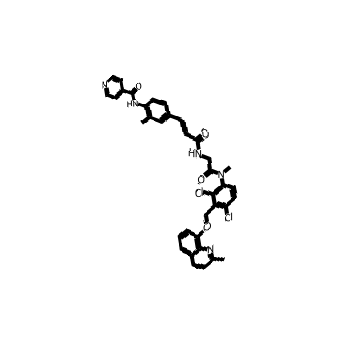 Cc1ccc2cccc(OCc3c(Cl)ccc(N(C)C(=O)CNC(=O)C=Cc4ccc(NC(=O)c5ccncc5)c(C)c4)c3Cl)c2n1